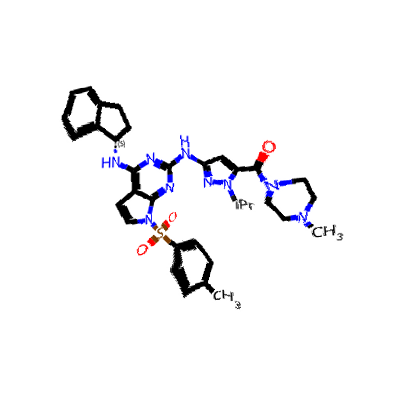 Cc1ccc(S(=O)(=O)n2ccc3c(N[C@H]4CCc5ccccc54)nc(Nc4cc(C(=O)N5CCN(C)CC5)n(C(C)C)n4)nc32)cc1